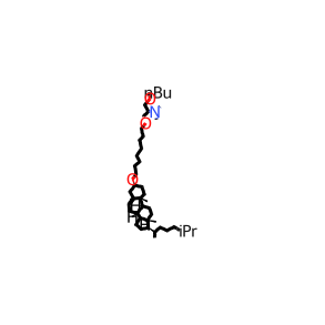 CCCCOCC(COCCCCCCCCO[C@H]1CC[C@@]2(C)C(=CC[C@H]3[C@@H]4CC[C@H](C(C)CCCC(C)C)[C@@]4(C)CC[C@@H]32)C1)N(C)C